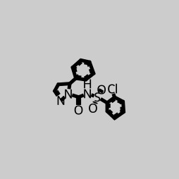 O=C(NS(=O)(=O)c1ccccc1Cl)N1N=CCC1c1ccccc1